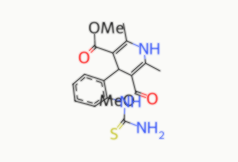 COC(=O)C1=C(C)NC(C)=C(C(=O)OC)C1c1ccccc1NC(N)=S